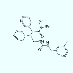 Cc1cccc(CNC(=O)NCC(C2C=CC=CC2)C(C(=O)N(C(C)C)C(C)C)c2cccnc2)c1